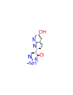 CNc1ncc(-c2ccc3cc(O)cnc3n2)c(=O)n1C